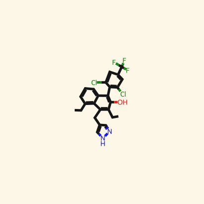 CCc1c(O)c(-c2c(Cl)cc(C(F)(F)F)cc2Cl)c2cccc(CC)c2c1Cc1cn[nH]c1